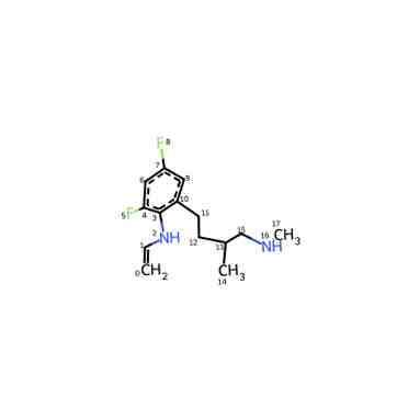 C=CNc1c(F)cc(F)cc1CCC(C)CNC